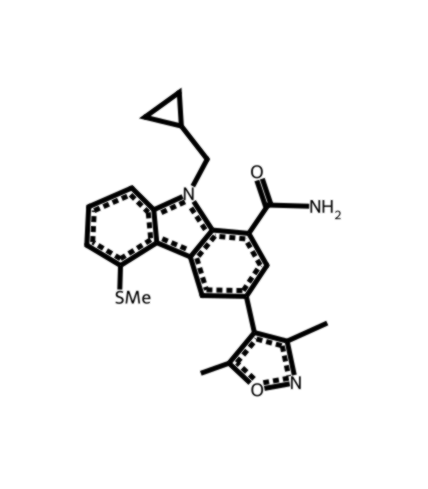 CSc1cccc2c1c1cc(-c3c(C)noc3C)cc(C(N)=O)c1n2CC1CC1